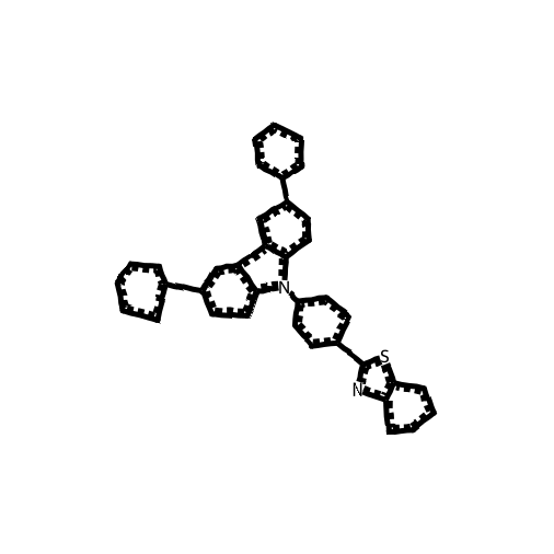 c1ccc(-c2ccc3c(c2)c2cc(-c4ccccc4)ccc2n3-c2ccc(-c3nc4ccccc4s3)cc2)cc1